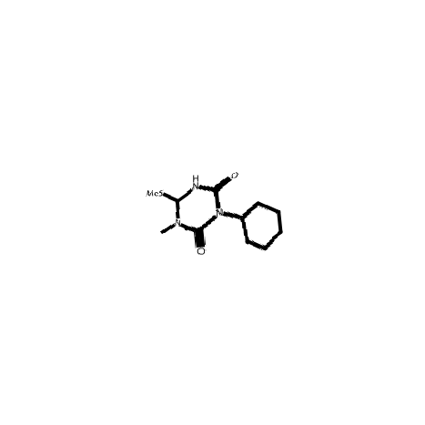 CSC1NC(=O)N(C2CCCCC2)C(=O)N1C